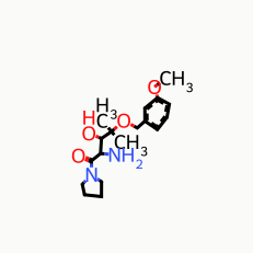 COc1cccc(COC(C)(C)C(O)C(N)C(=O)N2CCCC2)c1